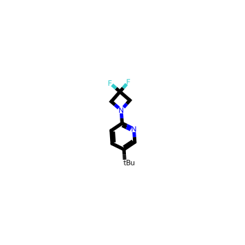 CC(C)(C)c1ccc(N2CC(F)(F)C2)nc1